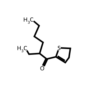 CCCCC(CC)C(=O)C1=CCCS1